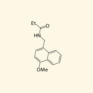 CCC(=O)NCc1ccc(OC)c2ccccc12